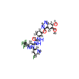 COc1cc2ncnc(Oc3cccc(NC(=O)Nc4cc(C(F)(F)F)nn4-c4cncc(F)c4)c3)c2cc1OC